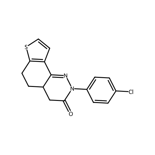 O=C1CC2CCc3sccc3C2=NN1c1ccc(Cl)cc1